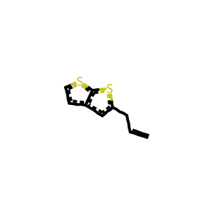 C=CCc1cc2ccsc2s1